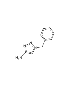 Nc1cn(Cc2ccccc2)nn1